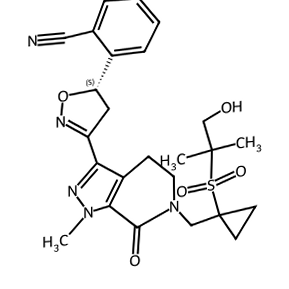 Cn1nc(C2=NO[C@H](c3ccccc3C#N)C2)c2c1C(=O)N(CC1(S(=O)(=O)C(C)(C)CO)CC1)CC2